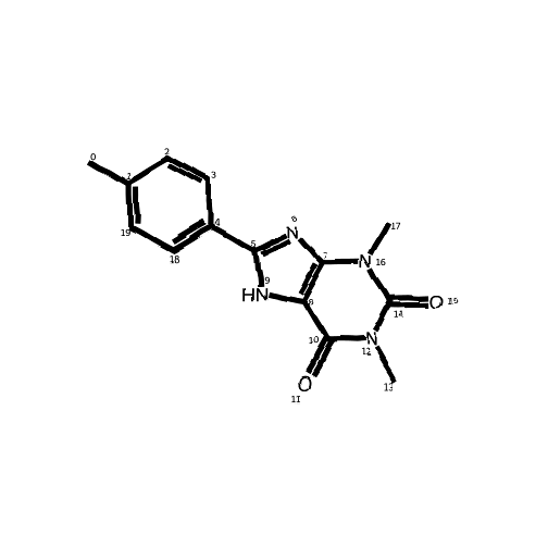 Cc1ccc(-c2nc3c([nH]2)c(=O)n(C)c(=O)n3C)cc1